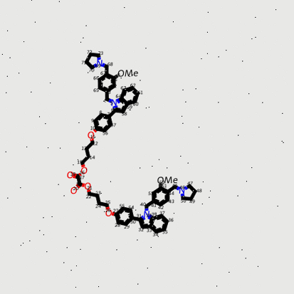 COc1cc(Cn2c(-c3ccc(OCCCCOC(=O)C(=O)OCCCCOc4ccc(-c5cc6ccccc6n5Cc5ccc(CN6CCCC6)c(OC)c5)cc4)cc3)cc3ccccc32)ccc1CN1CCCC1